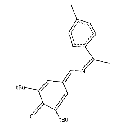 C/C(=N/C=C1C=C(C(C)(C)C)C(=O)C(C(C)(C)C)=C1)c1ccc(C)cc1